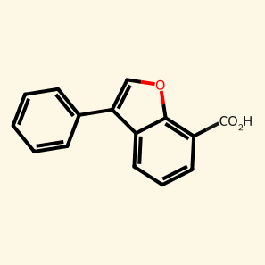 O=C(O)c1cccc2c(-c3ccccc3)coc12